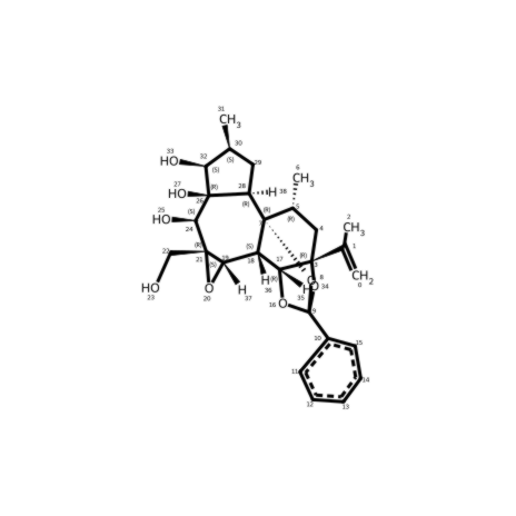 C=C(C)[C@]12C[C@@H](C)[C@@]34OC(c5ccccc5)(O[C@@H]1[C@@H]3[C@@H]1O[C@]1(CO)[C@@H](O)[C@@]1(O)[C@H]4C[C@H](C)[C@@H]1O)O2